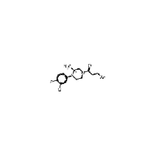 CC(=O)CCC(=O)N1CCN(c2ccc(F)c(Cl)c2)[C@@H](C)C1